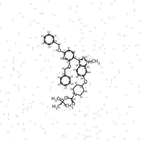 Cn1nc(-c2ccc(OCc3ccccc3)nc2OCc2ccccc2)c2ccc(OC3CCN(C(=O)OC(C)(C)C)CC3)cc21